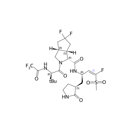 CC(C)(C)[C@@H](NC(=O)C(F)(F)F)C(=O)N1C[C@@H]2CC(F)(F)C[C@@H]2[C@@H]1C(=O)N[C@@H](/C=C(/F)S(C)(=O)=O)C[C@@H]1CCNC1=O